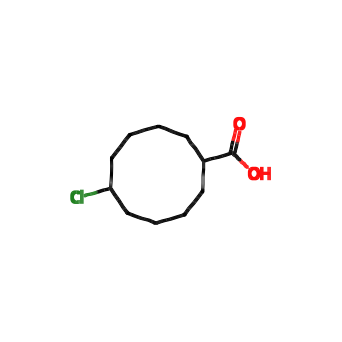 O=C(O)C1CCCCC(Cl)CCCC1